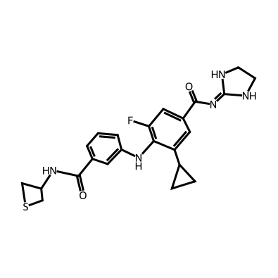 O=C(N=C1NCCN1)c1cc(F)c(Nc2cccc(C(=O)NC3CSC3)c2)c(C2CC2)c1